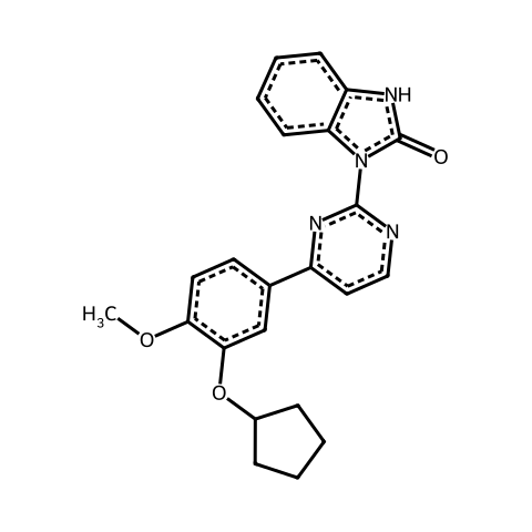 COc1ccc(-c2ccnc(-n3c(=O)[nH]c4ccccc43)n2)cc1OC1CCCC1